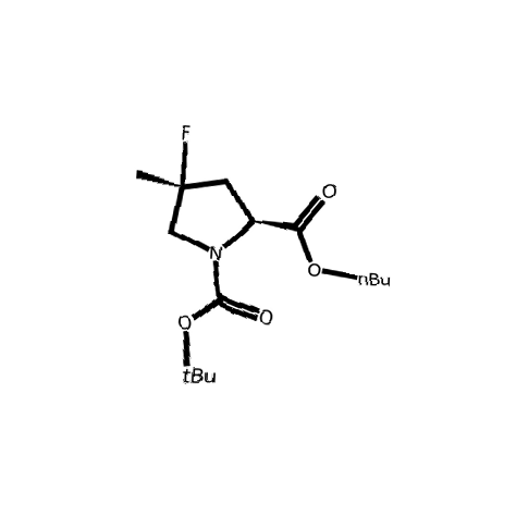 CCCCOC(=O)[C@@H]1C[C@@](C)(F)CN1C(=O)OC(C)(C)C